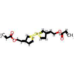 C=CC(=O)OCC=C1C=CS(SS2=CC(=CCOC(=O)C=C)C=C2)=C1